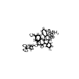 COC(=O)c1csc(CONC(=O)[C@@H]2c3ccccc3C(=O)N([C@H]3CCCC[C@@H]3NS(C)(=O)=O)[C@H]2c2ccc(Cl)cc2)c1